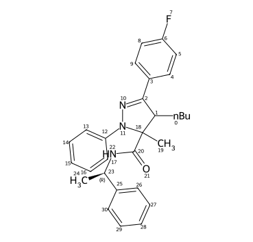 CCCCC1C(c2ccc(F)cc2)=NN(c2ccccc2)C1(C)C(=O)N[C@H](C)c1ccccc1